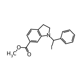 COC(=O)c1ccc2c(c1)N(C(I)c1ccccc1)CC2